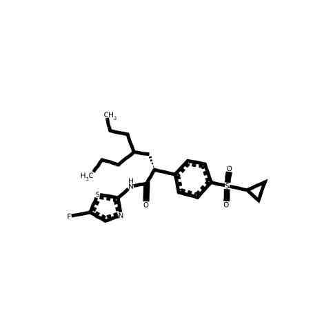 CCCC(CCC)C[C@@H](C(=O)Nc1ncc(F)s1)c1ccc(S(=O)(=O)C2CC2)cc1